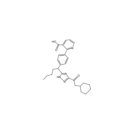 CCCCC(c1ccc(-c2ncccc2C(=O)O)cc1)c1nc(C(=O)CC2CCCCC2)n[nH]1